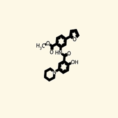 COC(=O)c1ccc(-c2ccco2)cc1NC(=O)c1cc(N2CCCCC2)ccc1O